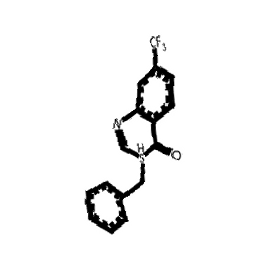 O=C1c2ccc(C(F)(F)F)cc2N=C[SH]1Cc1ccccc1